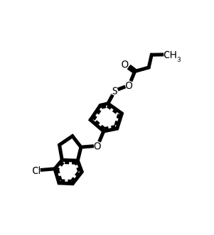 CCCC(=O)OSc1ccc(OC2CCc3c(Cl)cccc32)cc1